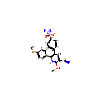 COc1nc(-c2ccc(SC)cc2)c(-c2ccc(S(N)(=O)=O)cc2)cc1C#N